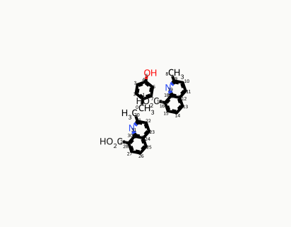 Cc1ccc(O)cc1.Cc1ccc2cccc(C(=O)O)c2n1.Cc1ccc2cccc(C(=O)O)c2n1